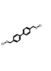 CCSCc1ccc(-c2ccc(CSCC)cc2)cc1